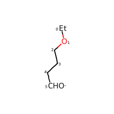 CCOCCC[C]=O